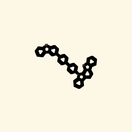 c1ccc2c(c1)oc1ccc(-c3ccc(-c4ccc(-n5c6ccccc6c6ccc7c8ccccc8oc7c65)cc4)cc3)cc12